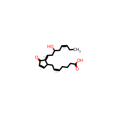 CC/C=C\CC(O)C/C=C1/C(=O)C=CC1C/C=C\CCCC(=O)O